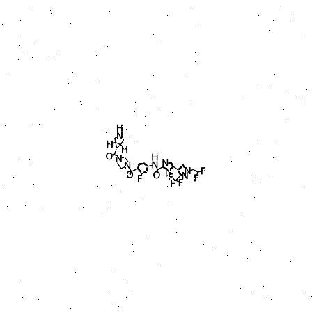 Cn1c(-c2cn(CC(F)F)nc2C(F)(F)F)cnc1C(=O)Nc1ccc(C(=O)N2CCN(C(=O)[C@H]3[C@@H]4CNC[C@@H]43)CC2)c(F)c1